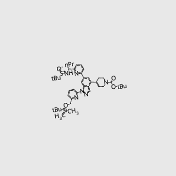 CCC[C@H](N[S@+]([O-])C(C)(C)C)c1cccc(-c2cc(C3=CCN(C(=O)OC(C)(C)C)CC3)c3cnn(-c4cccc(CO[Si](C)(C)C(C)(C)C)n4)c3c2)n1